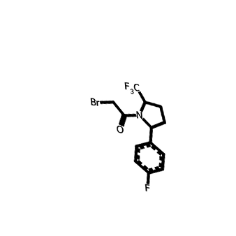 O=C(CBr)N1C(c2ccc(F)cc2)CCC1C(F)(F)F